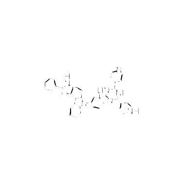 CC1(C2=NC(C3=CCNC=C3)NC(C3C=CN=CC3)N2)C=C(N2C3C=CC4=C(OC(C5=CC=CCC5)N4)C3C3C=CCCC32)C=CC1